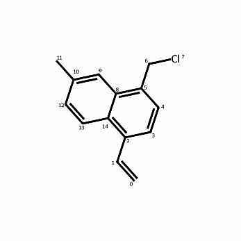 C=Cc1ccc(CCl)c2cc(C)ccc12